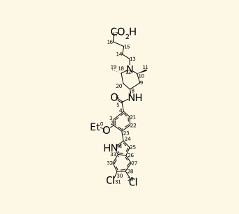 CCOc1cc(C(=O)NC2C[C@H](C)N(CCCCC(=O)O)[C@@H](C)C2)ccc1-c1cc2cc(Cl)c(Cl)cc2[nH]1